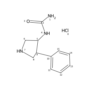 Cl.NC(=O)NC1CNCC1c1ccccc1